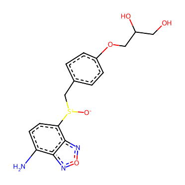 Nc1ccc([S+]([O-])Cc2ccc(OCC(O)CO)cc2)c2nonc12